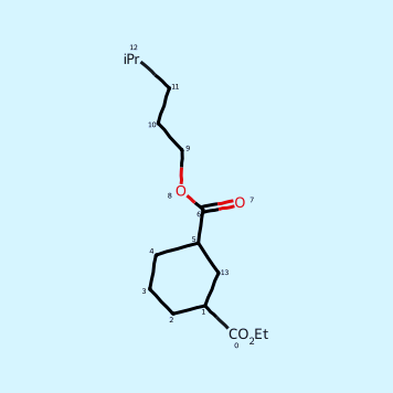 CCOC(=O)C1CCCC(C(=O)OCCCC(C)C)C1